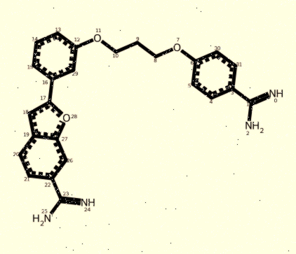 N=C(N)c1ccc(OCCCOc2cccc(-c3cc4ccc(C(=N)N)cc4o3)c2)cc1